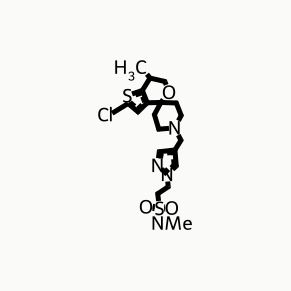 CNS(=O)(=O)CCn1cc(CN2CCC3(CC2)OCC(C)c2sc(Cl)cc23)cn1